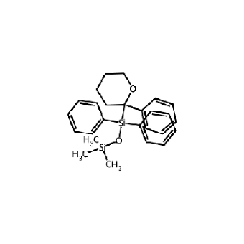 C[Si](C)(C)O[Si](c1ccccc1)(c1ccccc1)C1(c2ccccc2)CCCCO1